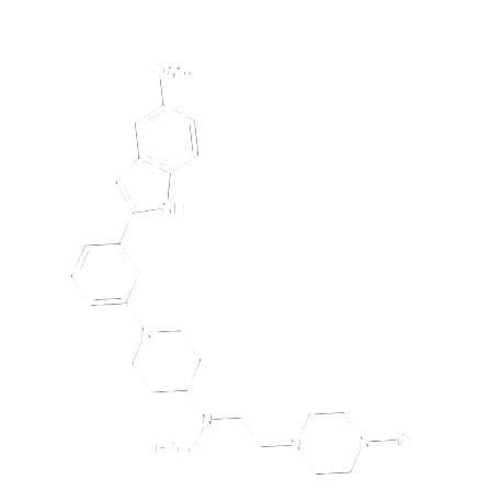 COc1ccc2[nH]c(-c3cccc(N4CCC(N(CCN5CCN(C(C)C)CC5)C(=O)O)CC4)c3)cc2c1